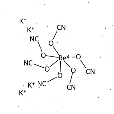 N#C[O][Re-4]([O]C#N)([O]C#N)([O]C#N)([O]C#N)[O]C#N.[K+].[K+].[K+].[K+]